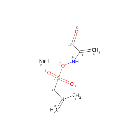 C=C(C)CS(=O)(=O)ONC(=C)C=O.[NaH]